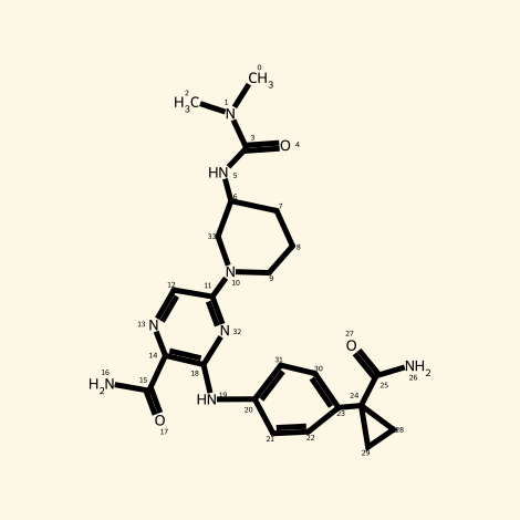 CN(C)C(=O)NC1CCCN(c2cnc(C(N)=O)c(Nc3ccc(C4(C(N)=O)CC4)cc3)n2)C1